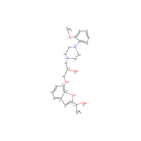 COc1ccccc1N1CCN(CC(O)COc2cccc3cc(C(C)O)oc23)CC1